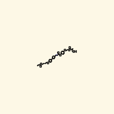 C=CC(=O)OCCCCOc1ccc(-c2ccc(/C=C/C(=O)Oc3ccc(OCCOC(=O)C(=C)CO)cc3)cc2)cc1